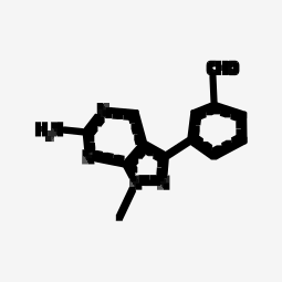 Cn1nc(-c2cccc(C=O)c2)c2cnc(N)nc21